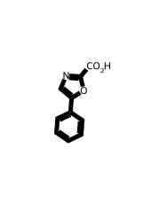 O=C(O)c1ncc(-c2ccccc2)o1